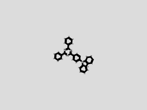 C1=Cc2c(n(-c3ccc(-c4nc(-c5ccccc5)nc(-c5ccccc5)n4)cc3)c3ccccc23)CC1